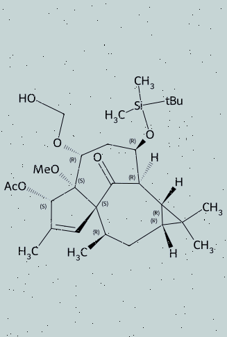 CO[C@]12[C@H](OCO)C[C@@H](O[Si](C)(C)C(C)(C)C)[C@@H]3C(=O)[C@]1(C=C(C)[C@@H]2OC(C)=O)[C@H](C)C[C@@H]1[C@H]3C1(C)C